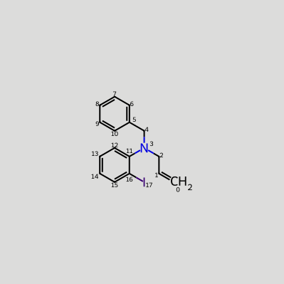 C=CCN(Cc1ccccc1)c1ccccc1I